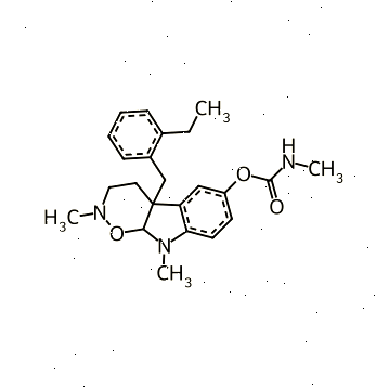 CCc1ccccc1CC12CCN(C)OC1N(C)c1ccc(OC(=O)NC)cc12